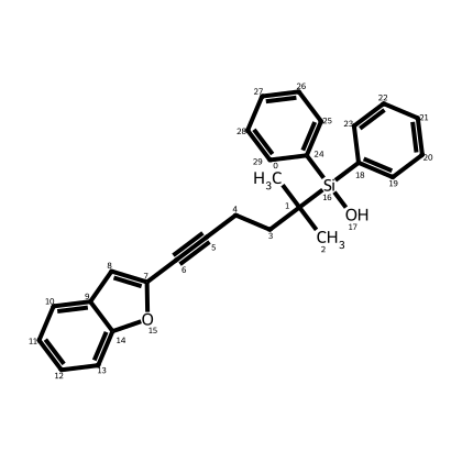 CC(C)(CCC#Cc1cc2ccccc2o1)[Si](O)(c1ccccc1)c1ccccc1